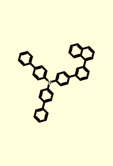 c1ccc(-c2ccc(N(c3ccc(-c4ccccc4)cc3)c3ccc(-c4cccc(-c5cccc6ccccc56)c4)cc3)cc2)cc1